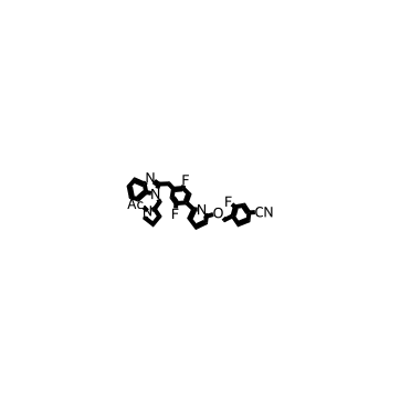 CC(=O)N1CCCC1Cn1c(Cc2cc(F)c(-c3cccc(OCc4ccc(C#N)cc4F)n3)cc2F)nc2ccccc21